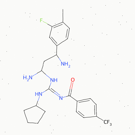 Cc1ccc(C(N)CC(N)N/C(=N\C(=O)c2ccc(C(F)(F)F)cc2)NC2CCCC2)cc1F